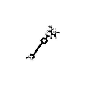 CNC(=O)C(C(=O)NO)N(C)C(=O)c1ccc(C#CC#Cc2cnn(C)c2)cc1